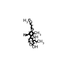 CCCC1(CC(=O)O)OCCc2c1[nH]c1c(C)c(OCCCOC)cc(C#N)c21